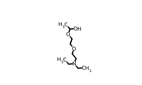 CCN(CC)CCOCCOC(C)O